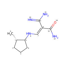 C[C@H]1CCCC1N/C=C(\C(=N)N)C(N)=O